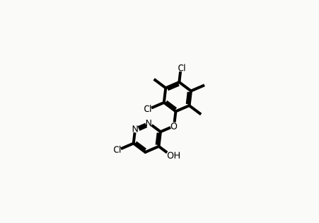 Cc1c(C)c(Oc2nnc(Cl)cc2O)c(Cl)c(C)c1Cl